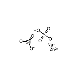 O=S(=O)([O-])O.O=[Se]([O-])[O-].[Na+].[Zn+2]